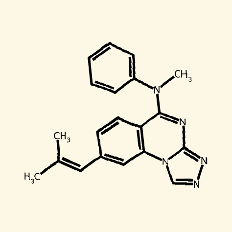 CC(C)=Cc1ccc2c(N(C)c3ccccc3)nc3nncn3c2c1